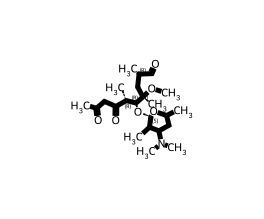 CO[C@](C)(C[C@@H](C)C=O)[C@H](O[C@@H]1OC(C)CC(N(C)C)C1C)[C@@H](C)C(=O)CC(C)=O